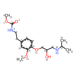 COC(=O)NCCc1ccc(OCC(O)CNC(C)C)c(OC)c1